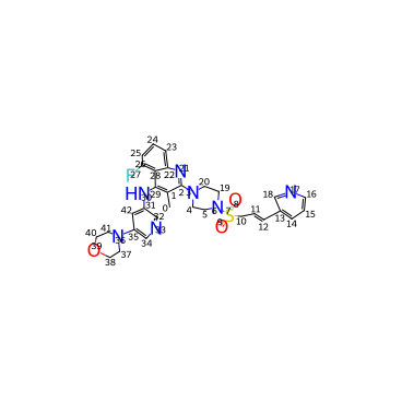 Cc1c(N2CCN(S(=O)(=O)CC=Cc3cccnc3)CC2)nc2cccc(F)c2c1Nc1cncc(N2CCOCC2)c1